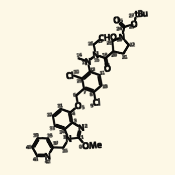 COc1nc2c(OCc3c(Cl)ccc(N(C)N(CC=O)C(=O)C4CCN(C(=O)OC(C)(C)C)C4)c3Cl)cccc2n1Cc1ccccn1